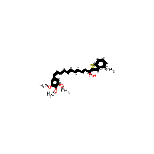 COc1cc(/C=C\CC/C=C/C=C/CCC(O)c2cc3c(C)cccc3s2)cc(OC)c1OC